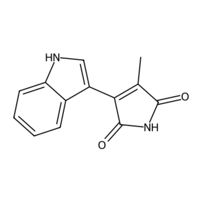 CC1=C(c2c[nH]c3ccccc23)C(=O)NC1=O